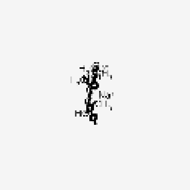 CCCc1c(NC(=O)CC(C)(C)C(=O)[O-])cccc1OCCCOc1cc(O)c(-c2ccc(F)cc2)cc1CC.[Na+]